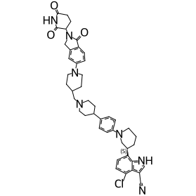 N#Cc1c[nH]c2c([C@@H]3CCCN(c4ccc(C5CCN(CC6CCN(c7ccc8c(c7)CN(C7CCC(=O)NC7=O)C8=O)CC6)CC5)cc4)C3)ccc(Cl)c12